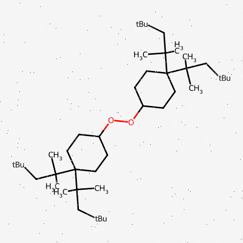 CC(C)(C)CC(C)(C)C1(C(C)(C)CC(C)(C)C)CCC(OOC2CCC(C(C)(C)CC(C)(C)C)(C(C)(C)CC(C)(C)C)CC2)CC1